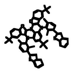 Cc1ccc(-c2cc3ccccc3s2)c(C)c1N1c2cc(C(C)(C)C)cc3c2B(c2oc4ccc(C(C)(C)C)cc4c21)c1oc2ccc(C(C)(C)C)cc2c1N3c1c(C)ccc(-c2cc3ccccc3s2)c1C